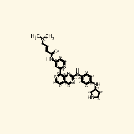 CN(C)CC=CC(=O)Nc1ccnc(-c2nccc3cnc(Nc4ccc(NC5CCNC5)cc4)nc23)c1